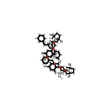 N[C@H](Cc1cc(F)c(F)cc1F)[C@H]1C[C@H]2CC[C@@H](C1)N2C(=O)CNC(CCc1ccccc1)OC(=O)/C=C\C(=O)N(CCCc1ccccc1)CC(=O)N1[C@@H]2CC[C@H]1C[C@@H]([C@H](N)Cc1cc(F)c(F)cc1F)C2